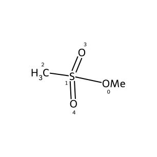 [CH2]OS(C)(=O)=O